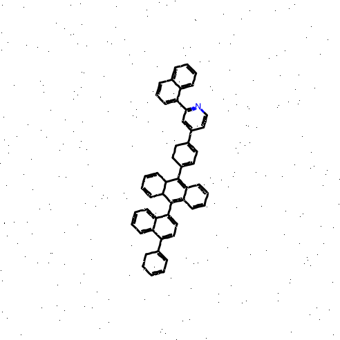 C1=CCCC(c2ccc(C3=c4ccccc4=C(C4=CC=C(c5ccnc(-c6cccc7ccccc67)c5)CC4)C4C=CC=CC34)c3ccccc23)=C1